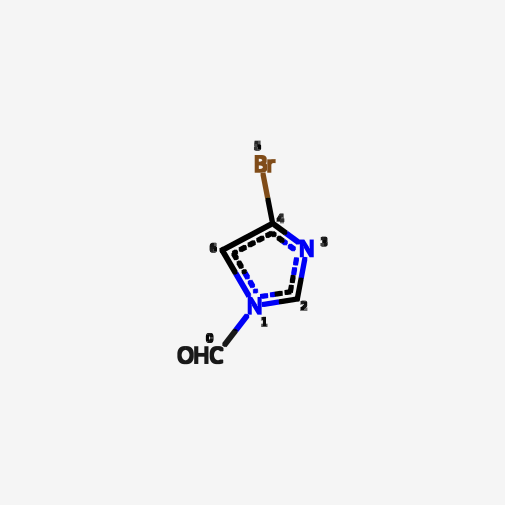 O=Cn1cnc(Br)c1